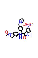 CC(=O)N1CCc2cc(NC(=C3C(=O)Nc4ccc([N+](=O)[O-])cc43)c3ccc(CN4CCCC4=O)cc3)ccc2C1